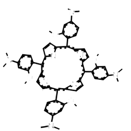 COc1cc(N(C)C)ccc1-c1c2nc(c(-c3ccc(N(C)C)cc3OC)c3ccc([nH]3)c(-c3ccc(N(C)C)cc3OC)c3nc(c(-c4ccc(N(C)C)cc4OC)c4ccc1[nH]4)C=C3)C=C2